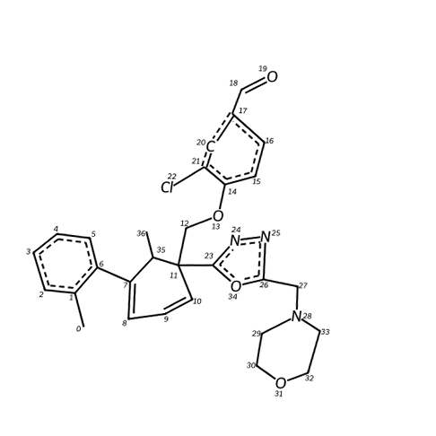 Cc1ccccc1C1=CC=CC(COc2ccc(C=O)cc2Cl)(c2nnc(CN3CCOCC3)o2)C1C